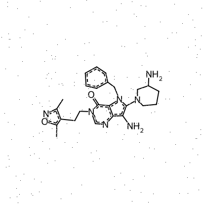 Cc1noc(C)c1CCn1cnc2c(N)c(N3CCCC(N)C3)n(Cc3ccccc3)c2c1=O